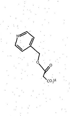 O=C(O)CC(=O)OCc1ccncc1